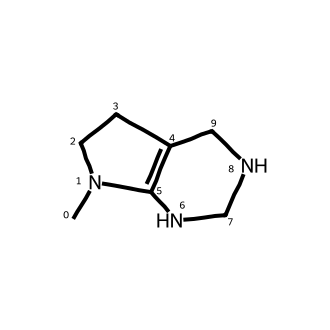 CN1CCC2=C1NCNC2